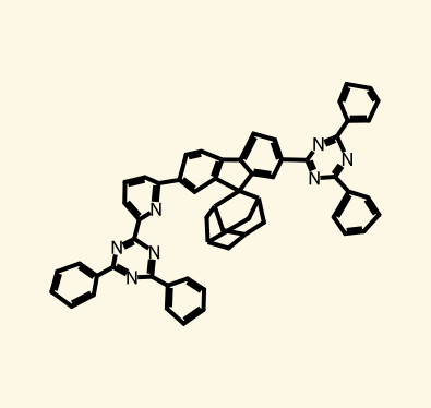 c1ccc(-c2nc(-c3ccccc3)nc(-c3ccc4c(c3)C3(c5cc(-c6cccc(-c7nc(-c8ccccc8)nc(-c8ccccc8)n7)n6)ccc5-4)C4CC5CC(C4)CC3C5)n2)cc1